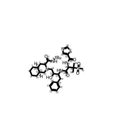 CC(C)(C)NC(=O)C1C[C@@H]2CCCC[C@@H]2CN1CC(O)C(Cc1ccccc1)NC(=O)[C@@H](NC(=O)c1cncs1)C(C)(C)S(C)(=O)=O